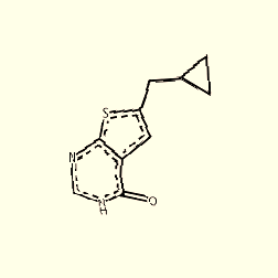 O=c1[nH]cnc2sc(CC3CC3)cc12